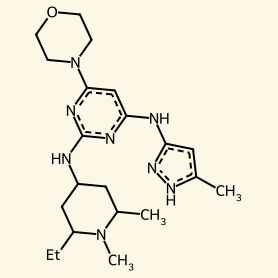 CCC1CC(Nc2nc(Nc3cc(C)[nH]n3)cc(N3CCOCC3)n2)CC(C)N1C